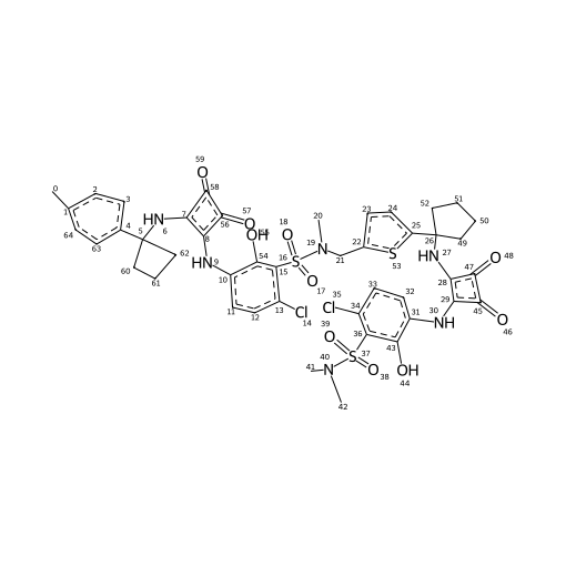 Cc1ccc(C2(Nc3c(Nc4ccc(Cl)c(S(=O)(=O)N(C)Cc5ccc(C6(Nc7c(Nc8ccc(Cl)c(S(=O)(=O)N(C)C)c8O)c(=O)c7=O)CCCC6)s5)c4O)c(=O)c3=O)CCC2)cc1